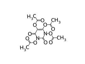 CC(=O)Oc1c(OC(C)=O)n(OC(C)=O)c(=O)n(OC(C)=O)c1=O